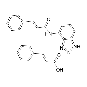 O=C(/C=C/c1ccccc1)Nc1cccc2[nH]nnc12.O=C(O)/C=C/c1ccccc1